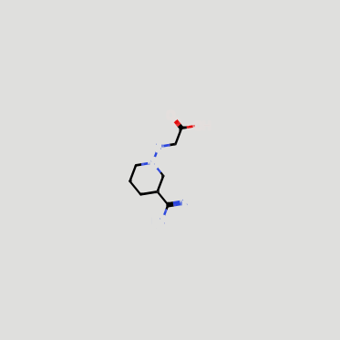 N=C(N)C1CCCN(NCC(=O)O)C1